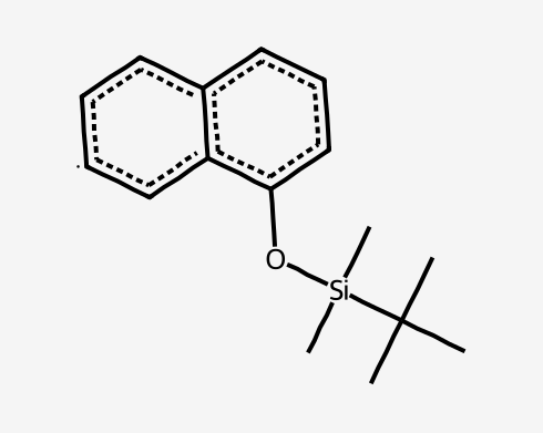 CC(C)(C)[Si](C)(C)Oc1cccc2cc[c]cc12